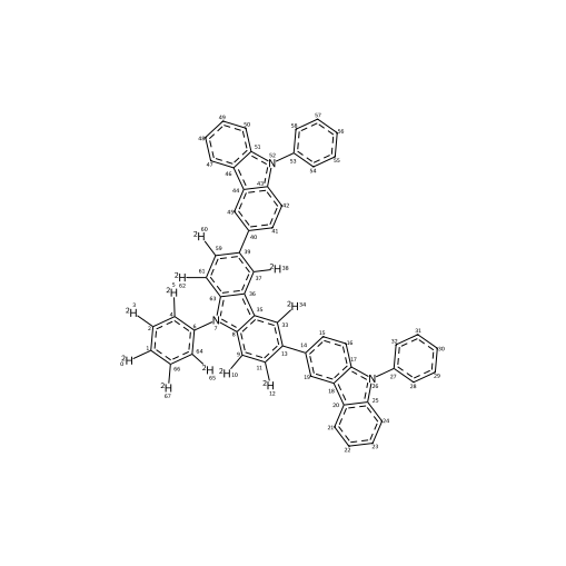 [2H]c1c([2H])c([2H])c(-n2c3c([2H])c([2H])c(-c4ccc5c(c4)c4ccccc4n5-c4ccccc4)c([2H])c3c3c([2H])c(-c4ccc5c(c4)c4ccccc4n5-c4ccccc4)c([2H])c([2H])c32)c([2H])c1[2H]